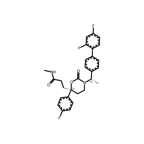 CNC(=O)CC[C@@]1(c2ccc(F)cc2)CCN([C@@H](C)c2ccc(-c3ccc(F)cc3F)cc2)C(=O)O1